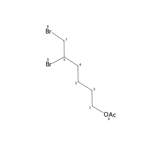 CC(=O)OCCCCC(Br)CBr